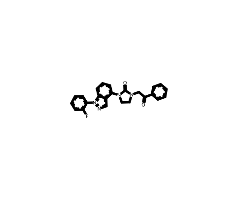 O=C(CN1CCN(c2cccc3c2cnn3-c2ccccc2F)C1=O)c1ccccc1